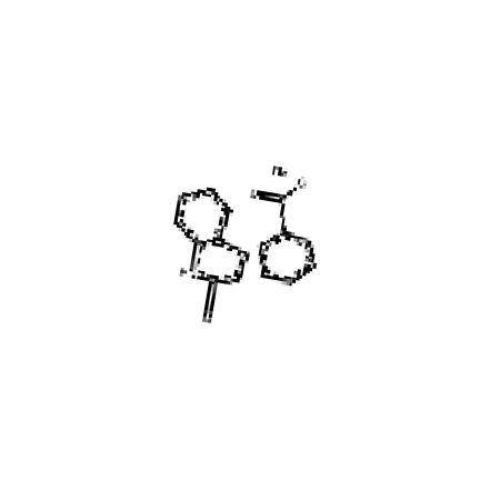 O=C([O-])c1ccccc1.O=c1ccc2ccccc2[nH]1.[Na+]